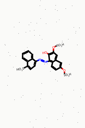 O=S(=O)(O)Oc1ccc2c(N=Nc3ccc(S(=O)(=O)O)c4ccccc34)c(O)c(OS(=O)(=O)O)cc2c1